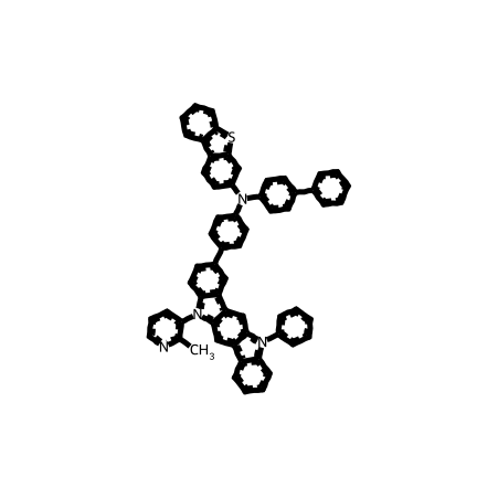 Cc1ncccc1-n1c2ccc(-c3ccc(N(c4ccc(-c5ccccc5)cc4)c4ccc5c(c4)sc4ccccc45)cc3)cc2c2cc3c(cc21)c1ccccc1n3-c1ccccc1